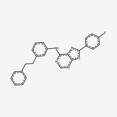 Fc1ccc(-c2nc3c(Nc4cccc(CCc5ccccc5)c4)ncnc3s2)cc1